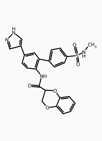 CNS(=O)(=O)c1ccc(-c2cc(-c3cn[nH]c3)ccc2NC(=O)C2COc3ccccc3O2)cc1